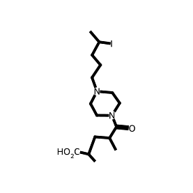 CC(I)CCCN1CCN(C(=O)C(C)CC(C)C(=O)O)CC1